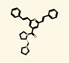 O=C(c1cc(/C=C/c2ccccc2)nc(/C=C/c2ccccc2)c1)N1CCC[C@H]1CN1CCCC1